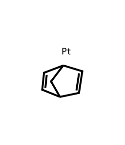 C1=CC2C=CC1C2.[Pt]